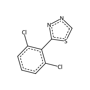 Clc1cccc(Cl)c1-c1nncs1